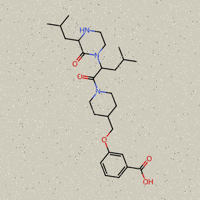 CC(C)CC1NCCN(C(CC(C)C)C(=O)N2CCC(COc3cccc(C(=O)O)c3)CC2)C1=O